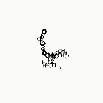 CC(C)(C)OC(=O)/N=C(/NC(=O)OC(C)(C)C)N1CCc2ccc(OCC3CCN(C(=O)OCc4ccccc4)CC3)cc2C1